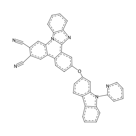 N#Cc1cc2c3ccc(Oc4ccc5c6ccccc6n(-c6ccccn6)c5c4)cc3c3nc4ccccc4n3c2cc1C#N